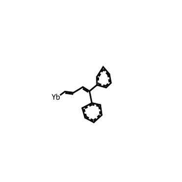 [Yb][CH]=CC=C(c1ccccc1)c1ccccc1